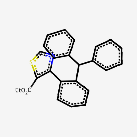 CCOC(=O)c1scnc1-c1ccccc1C(c1ccccc1)c1ccccc1